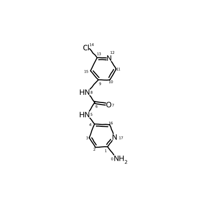 Nc1ccc(NC(=O)Nc2ccnc(Cl)c2)cn1